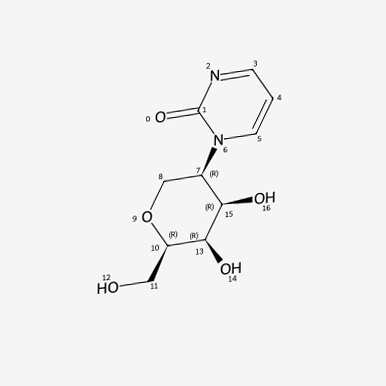 O=c1ncccn1[C@@H]1CO[C@H](CO)[C@H](O)[C@@H]1O